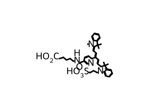 CN1/C(=C/C=C(/C=C/C2=[N+](CCCS(=O)(=O)O)c3ccccc3C2(C)C)c2ccc(C(=O)NCCCCCC(=O)O)cn2)C(C)(C)c2ccccc21